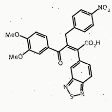 COc1ccc(C(=O)C(Cc2ccc([N+](=O)[O-])cc2)=C(C(=O)O)c2ccc3nsnc3c2)cc1OC